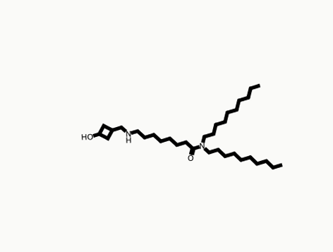 CCCCCCCCCCN(CCCCCCCCCC)C(=O)CCCCCCCNCC1CC(O)C1